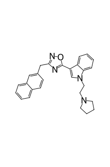 c1ccc2cc(Cc3noc(-c4cn(CCN5CCCC5)c5ccccc45)n3)ccc2c1